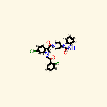 O=C(Cn1cc(C(=O)N2CCC(n3c(=O)[nH]c4ccccc43)CC2)c2ccc(Cl)cc21)c1ccccc1F